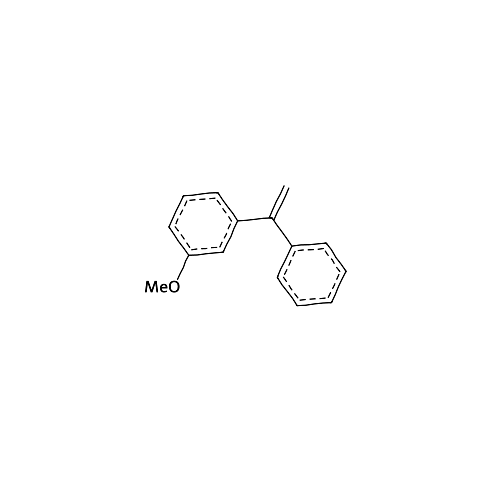 C=C(c1ccccc1)c1cccc(OC)c1